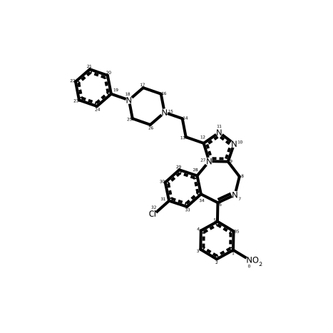 O=[N+]([O-])c1cccc(C2=NCc3nnc(CCN4CCN(c5ccccc5)CC4)n3-c3ccc(Cl)cc32)c1